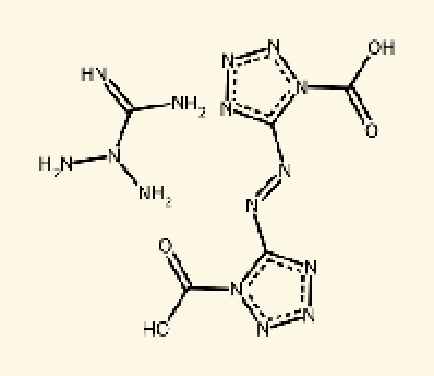 N=C(N)N(N)N.O=C(O)n1nnnc1N=Nc1nnnn1C(=O)O